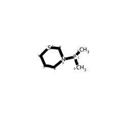 CP(C)N1CCCSC1